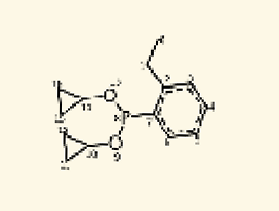 CCc1ccccc1P(OC1CC1)OC1CC1